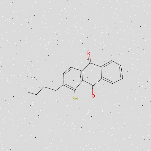 CCCCc1ccc2c(c1S)C(=O)c1ccccc1C2=O